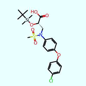 CC(C)(C)[Si](C)(C)O[C@@H](CN(c1ccc(Oc2ccc(Cl)cc2)cc1)S(C)(=O)=O)C(=O)O